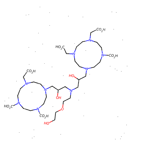 O=C(O)CN1CCN(CC(=O)O)CCN(C(=O)O)CCN(CC(O)CN(CCOCCO)CC(O)CN2CCN(CC(=O)O)CCN(C(=O)O)CCN(C(=O)O)CC2)CC1